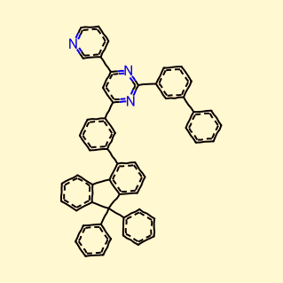 c1ccc(-c2cccc(-c3nc(-c4cccnc4)cc(-c4cccc(-c5cccc6c5-c5ccccc5C6(c5ccccc5)c5ccccc5)c4)n3)c2)cc1